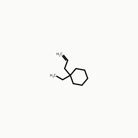 C=CCC1(CC)CCCCC1